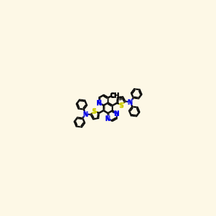 Cc1ccnc2c(-c3ccc(N(c4ccccc4)c4ccccc4)s3)c3nccnc3c(-c3ccc(N(c4ccccc4)c4ccccc4)s3)c12